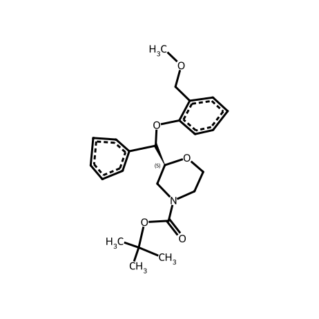 COCc1ccccc1OC(c1ccccc1)[C@@H]1CN(C(=O)OC(C)(C)C)CCO1